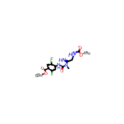 CN(C(=N)CNC(=O)OC(C)(C)C)C(=O)Nc1cc(F)c(C(=O)OC(C)(C)C)cc1F